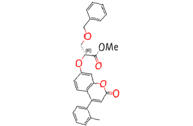 COC(=O)[C@@H](COCc1ccccc1)Oc1ccc2c(-c3ccccc3C)cc(=O)oc2c1